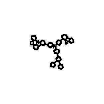 c1ccc(-c2ccc(-c3ccc(N(c4ccc(-c5ccc6c(c5)c5cccc7c5n6-c5ccccc5O7)cc4)c4ccc(-c5cccc6c5sc5ccccc56)cc4)cc3)cc2-c2ccccc2)cc1